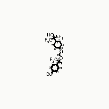 CCC(C)c1ccc(C(C)(OCOC2CCC(C(O)(C(F)(F)F)C(F)(F)F)CC2)C(F)(F)F)cc1